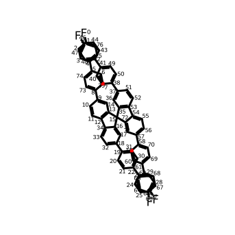 Fc1ccc(-c2ccc(-c3ccc4c(c3)C3(c5cc(-c6ccc(-c7ccc(F)cc7)cc6)ccc5-4)c4cc(-c5ccc(-c6ccc(F)cc6)cc5)ccc4-c4ccc(-c5ccc(-c6ccc(F)cc6)cc5)cc43)cc2)cc1